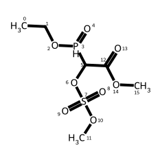 CCO[PH](=O)C(OS(=O)(=O)OC)C(=O)OC